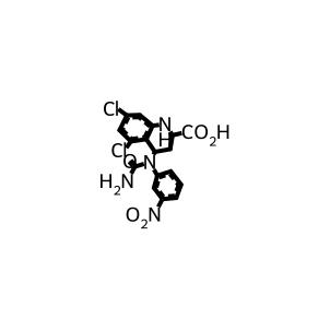 NC(=O)N(c1cccc([N+](=O)[O-])c1)C1CC(C(=O)O)Nc2cc(Cl)cc(Cl)c21